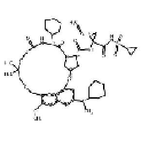 C=C[C@@H]1CC1(NC(=O)[C@@H]1C[C@@H]2CN1C(=O)[C@H](C1CCCCC1)NC(=O)OCC(C)(C)CCCc1cc3c(cc(N(C)C4CCCCC4)nc3cc1OC)O2)C(=O)NS(=O)(=O)C1CC1